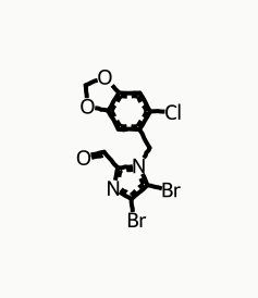 O=Cc1nc(Br)c(Br)n1Cc1cc2c(cc1Cl)OCO2